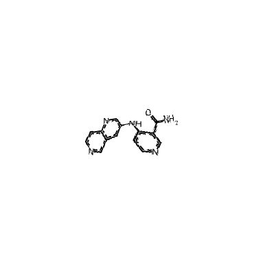 NC(=O)c1cnccc1Nc1cnc2ccncc2c1